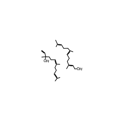 C=CC(C)(O)CCC=C(C)CCC=C(C)C.CC(C)=CCCC(C)=CCCC(C)=CCO